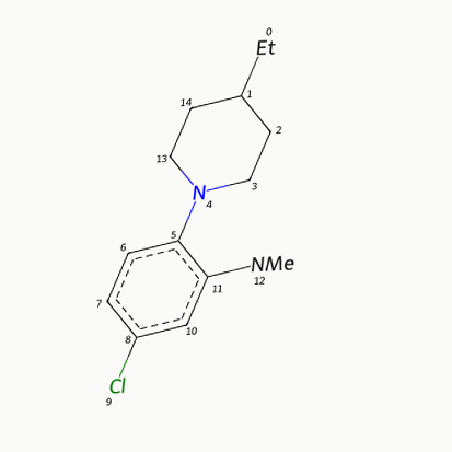 CCC1CCN(c2ccc(Cl)cc2NC)CC1